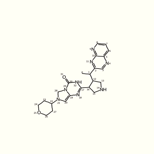 CC(c1cnc2cccnc2n1)C1CNCC1C1=NC2=CN(C3CCOCC3)CN2C(=O)N1